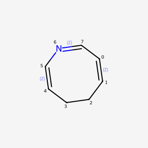 C1=C/CC\C=C/N=C\1